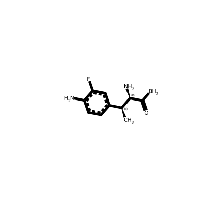 BC(=O)[C@H](N)[C@@H](C)c1ccc(N)c(F)c1